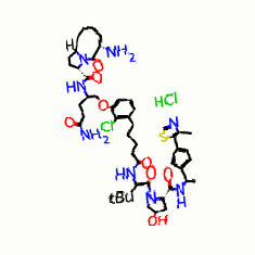 Cc1ncsc1-c1ccc(C(C)NC(=O)[C@@H]2C[C@@H](O)CN2C(=O)C(NC(=O)CCCCc2cccc(OCC(CCC(N)=O)NC(=O)[C@@H]3CC[C@@H]4CCCC[C@H](N)C(=O)N43)c2Cl)C(C)(C)C)cc1.Cl